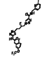 O=C(Cc1cc(OC(F)(F)F)ccc1F)Nc1nnc(CCC(F)Cn2cc(C(=O)NCc3cccc(I)n3)nn2)s1